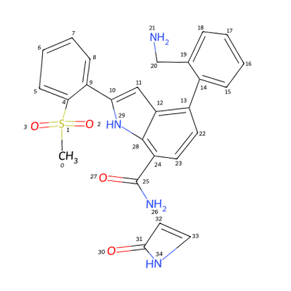 CS(=O)(=O)c1ccccc1-c1cc2c(-c3ccccc3CN)ccc(C(N)=O)c2[nH]1.O=C1C=CN1